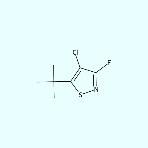 CC(C)(C)c1snc(F)c1Cl